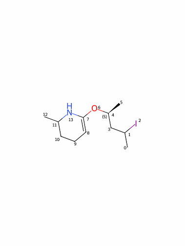 CC(I)C[C@H](C)OC1=CCCC(C)N1